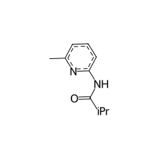 Cc1cccc(NC(=O)C(C)C)n1